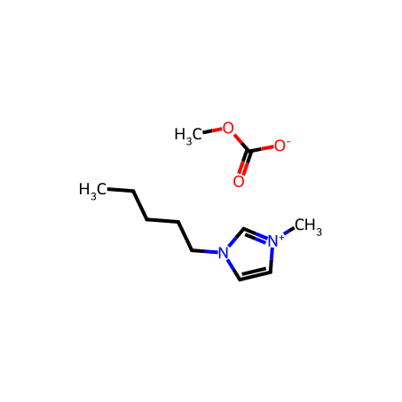 CCCCCn1cc[n+](C)c1.COC(=O)[O-]